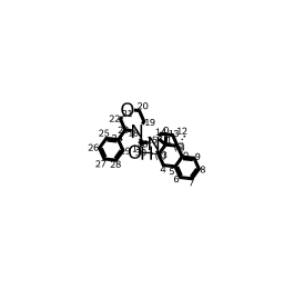 CC1(C)[C@H]2Cc3ccccc3[C@]1(C)CCN2C(=O)N1CCOCC1c1ccccc1